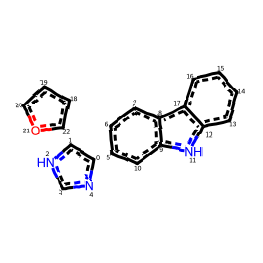 c1c[nH]cn1.c1ccc2c(c1)[nH]c1ccccc12.c1ccoc1